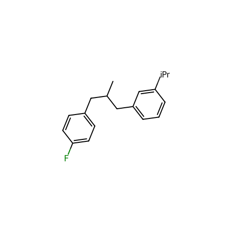 CC(Cc1ccc(F)cc1)Cc1cccc(C(C)C)c1